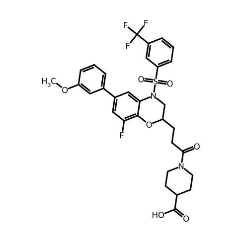 COc1cccc(-c2cc(F)c3c(c2)N(S(=O)(=O)c2cccc(C(F)(F)F)c2)CC(CCC(=O)N2CCC(C(=O)O)CC2)O3)c1